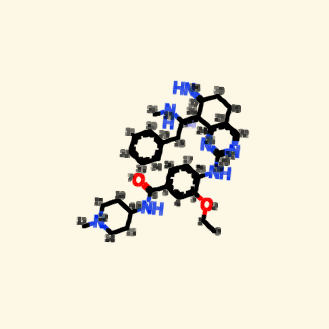 CCOc1cc(C(=O)NC2CCN(C)CC2)ccc1Nc1ncc2c(n1)/C(=C(\Cc1ccccc1)NC)C(=N)CC2